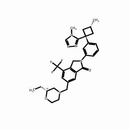 CC[C@@H]1CN(Cc2cc3c(c(C(F)(F)F)c2)CN(c2cccc([C@]4(c5nncn5C)C[C@@H](C)C4)c2)C3=O)CCO1